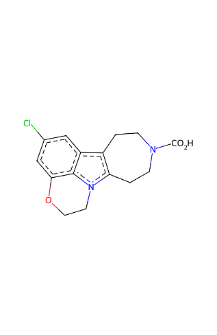 O=C(O)N1CCc2c(n3c4c(cc(Cl)cc24)OCC3)CC1